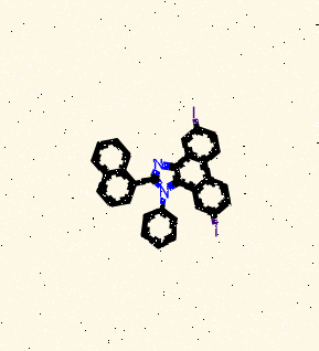 Ic1ccc2c3ccc(I)cc3c3c(nc(-c4cccc5ccccc45)n3-c3ccccc3)c2c1